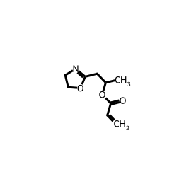 C=CC(=O)OC(C)CC1=NCCO1